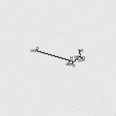 CC(=O)CC[C@H](NC(=O)CC[C@H](NC(=O)CCCCCCCCCCCCCCCCCCC(=O)O)C(=O)O)C(=O)O